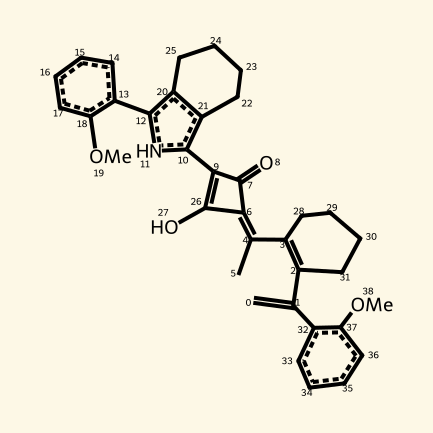 C=C(C1=C(/C(C)=C2\C(=O)C(c3[nH]c(-c4ccccc4OC)c4c3CCCC4)=C2O)CCCC1)c1ccccc1OC